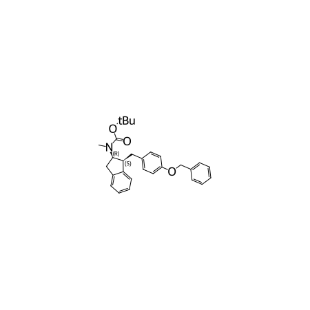 CN(C(=O)OC(C)(C)C)[C@@H]1Cc2ccccc2[C@@H]1Cc1ccc(OCc2ccccc2)cc1